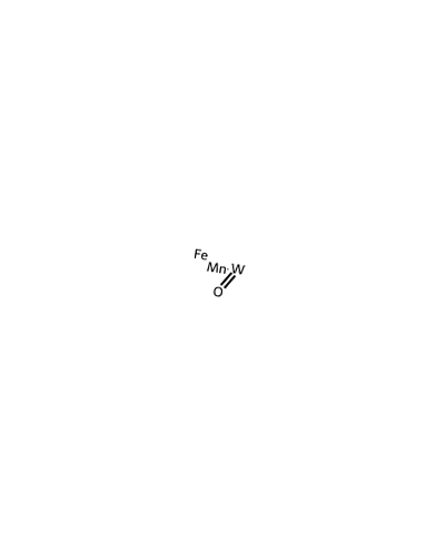 [Fe].[Mn].[O]=[W]